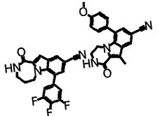 COc1ccc(-c2cc(C#N)cc3c(C)c4n(c23)CCNC4=O)cc1.N#Cc1cc(-c2cc(F)c(F)c(F)c2)c2c(c1)cc1n2CCCNC1=O